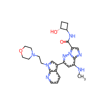 CNc1cc(-c2cn(CCN3CCOCC3)c3ncccc23)nn2c(C(=O)NC3CC[C@H]3O)cnc12